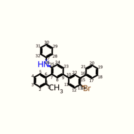 Cc1ccccc1-c1cc(-c2ccc(Br)c(-c3ccccc3)c2)ccc1Nc1ccccc1